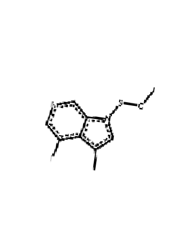 Cc1cn(SOI)c2cncc(F)c12